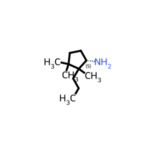 CCCC1(C)[C@@H](N)CCC1(C)C